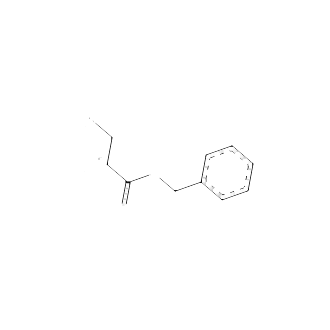 C[C@H](CN)C(=O)OCc1ccccc1